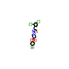 O=S(=O)(c1ccc(Br)cc1)C1CCN(c2nc(Cc3ccc(Cl)cc3Cl)cs2)CC1